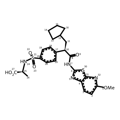 COc1ccc2nc(NC(=O)[C@H](CC3CCCC3)c3ccc(S(=O)(=O)N[C@@H](C)C(=O)O)cc3)sc2n1